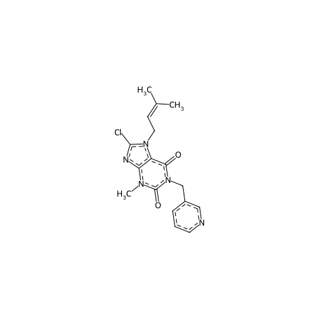 CC(C)=CCn1c(Cl)nc2c1c(=O)n(Cc1cccnc1)c(=O)n2C